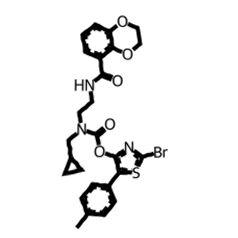 Cc1ccc(-c2sc(Br)nc2OC(=O)N(CCNC(=O)c2cccc3c2OCCO3)CC2CC2)cc1